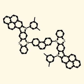 Cc1cc(C)cc(-n2c3cc4c(cc3c3c5ccc6cccc7ccc(cc32)c5c76)sc2ccccc2n4-c2ccc3c(ccc4cc(-n5c6ccccc6sc6cc7c8c9ccc%10cccc%11ccc(cc8n(-c8cc(C)cc(C)c8)c7cc65)c9c%11%10)ccc43)c2)c1